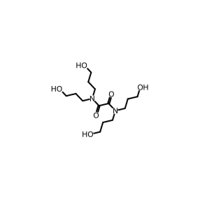 O=C(C(=O)N(CCCO)CCCO)N(CCCO)CCCO